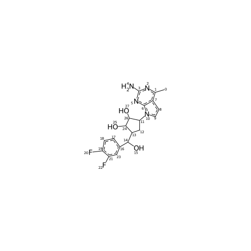 Cc1nc(N)nc2c1ccn2C1CC(C(O)c2ccc(F)c(F)c2)C(O)C1O